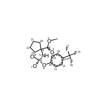 COC(=O)C1(NP(=O)(Cl)Oc2ccc(C(F)(F)F)cc2)CCCC1